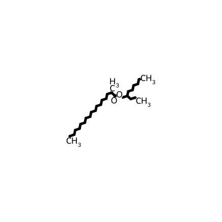 CCCCCCCCCCCCCCCCC(C)C(=O)OCC(CCC)CCCCCC